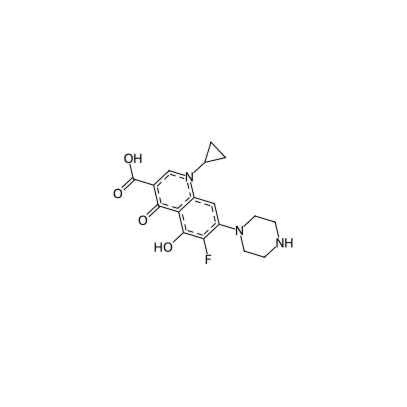 O=C(O)c1cn(C2CC2)c2cc(N3CCNCC3)c(F)c(O)c2c1=O